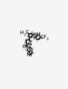 Cc1cc(Nc2nccc(C(F)(F)F)n2)cc(-c2ccc(C(=O)N3CCn4ccnc4C3)nc2)c1